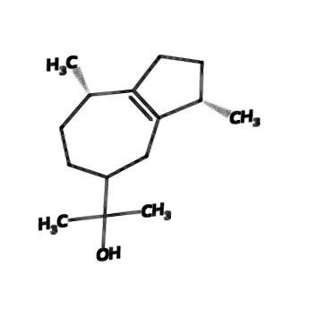 C[C@H]1CCC(C(C)(C)O)CC2=C1CC[C@@H]2C